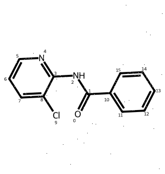 O=C(Nc1ncccc1Cl)c1ccccc1